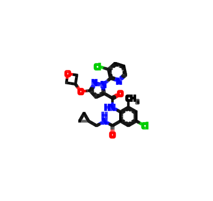 Cc1cc(Cl)cc(C(=O)NCC2CC2)c1NC(=O)c1cc(OC2COC2)nn1-c1ncccc1Cl